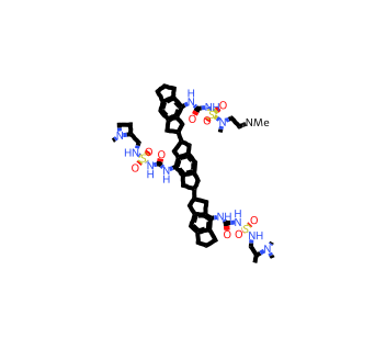 CNCCN(C)S(=O)(=O)NC(=O)Nc1c2c(cc3c1CC(C1Cc4cc5c(c(NC(=O)NS(=O)(=O)NCC6CCN6C)c4C1)CC(C1Cc4cc6c(c(NC(=O)NS(=O)(=O)NCC(C)N(C)C)c4C1)CCC6)C5)C3)CCC2